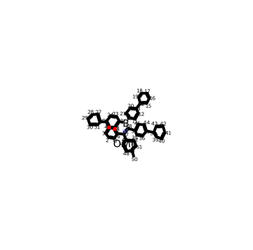 COc1ccccc1/C(=C(\B(c1ccc(-c2ccccc2)cc1)c1ccc(-c2ccccc2)cc1)c1ccc(-c2ccccc2)cc1)c1ccc(C)cc1